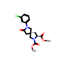 CC(C)(C)OC(=O)[C@@H]1C[C@@]2(CC(=O)N(c3cccc(Cl)c3)C2)CN1C(=O)OC(C)(C)C